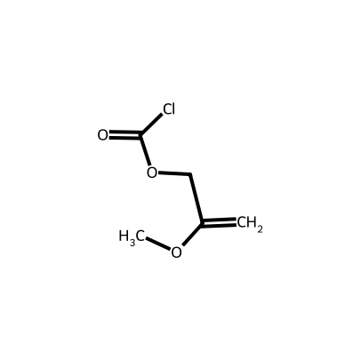 C=C(COC(=O)Cl)OC